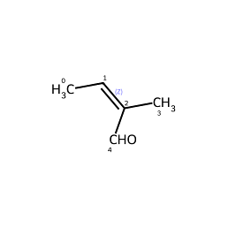 C/C=C(/C)C=O